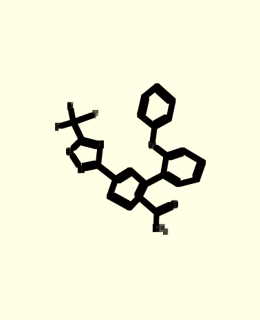 NC(=O)c1ccc(-c2noc(C(F)(F)F)n2)cc1-c1ccccc1Oc1ccccc1